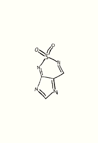 O=S1(=O)N=CC2=NC=NC2=N1